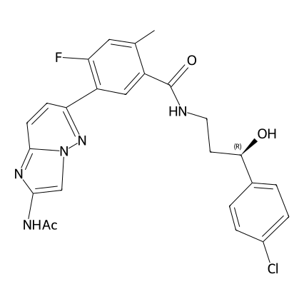 CC(=O)Nc1cn2nc(-c3cc(C(=O)NCC[C@@H](O)c4ccc(Cl)cc4)c(C)cc3F)ccc2n1